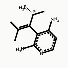 B[C@H](C)C(=C(C)C)c1c(N)ccnc1N